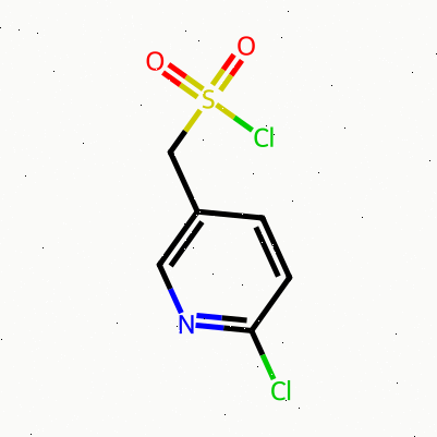 O=S(=O)(Cl)Cc1ccc(Cl)nc1